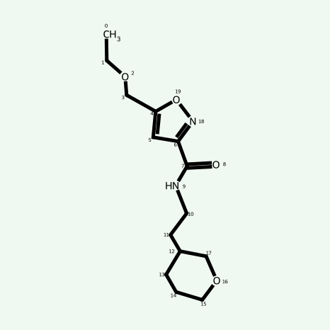 CCOCc1cc(C(=O)NCCC2CCCOC2)no1